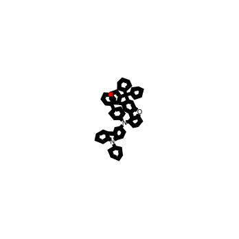 c1ccc(-c2ccc(N(c3ccc4c(c3)c3ccccc3n4-c3ccccc3)c3cccc4oc5cc6c(cc5c34)-c3ccccc3C6(c3ccccc3)c3ccccc3)cc2)cc1